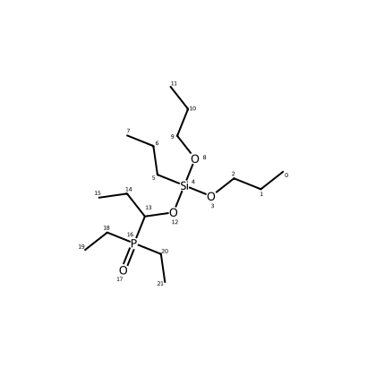 CCCO[Si](CCC)(OCCC)OC(CC)P(=O)(CC)CC